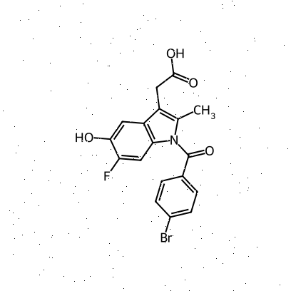 Cc1c(CC(=O)O)c2cc(O)c(F)cc2n1C(=O)c1ccc(Br)cc1